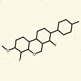 COC1CCC2C3CCC(C4CCC(C)CC4)C(F)C3COC2C1F